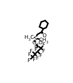 CS(C)(CC(=O)C1CCCCC1)OS(=O)(=O)C(F)(F)C(F)(F)C(F)(F)C(F)(F)F